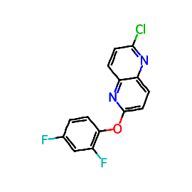 Fc1ccc(Oc2ccc3nc(Cl)ccc3n2)c(F)c1